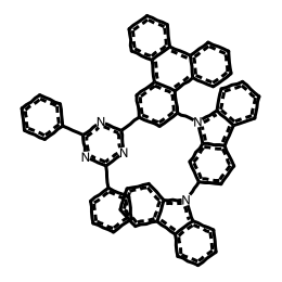 c1ccc(-c2nc(-c3ccccc3)nc(-c3cc(-n4c5ccccc5c5ccc(-n6c7ccccc7c7ccccc76)cc54)c4c5ccccc5c5ccccc5c4c3)n2)cc1